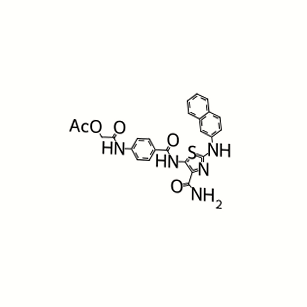 CC(=O)OCC(=O)Nc1ccc(C(=O)Nc2sc(Nc3ccc4ccccc4c3)nc2C(N)=O)cc1